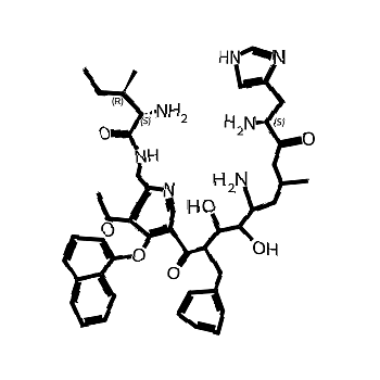 CC[C@@H](C)[C@H](N)C(=O)NCc1ncc(C(=O)C(Cc2ccccc2)C(O)C(O)C(N)CC(C)CC(=O)[C@@H](N)Cc2c[nH]cn2)c(Oc2cccc3ccccc23)c1C(C)=O